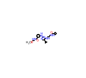 COCCNC(=O)c1cccc(Nc2ncc(C3CC3)c(NCCCNC(=O)C3CCC3)n2)c1